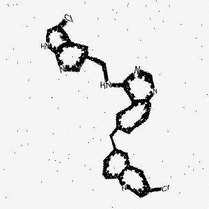 Clc1cnc2ccc(Cc3ccc4ncnc(NCc5cnc6[nH]cc(Cl)c6c5)c4c3)cc2c1